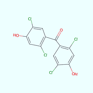 O=C(c1cc(Cl)c(O)cc1Cl)c1cc(Cl)c(O)cc1Cl